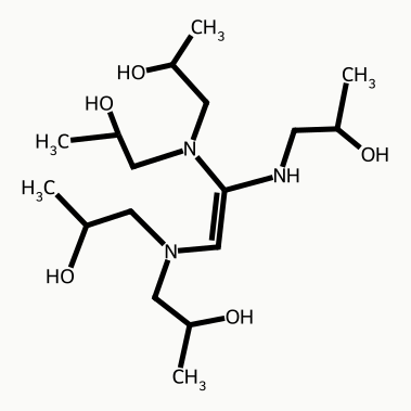 CC(O)CNC(=CN(CC(C)O)CC(C)O)N(CC(C)O)CC(C)O